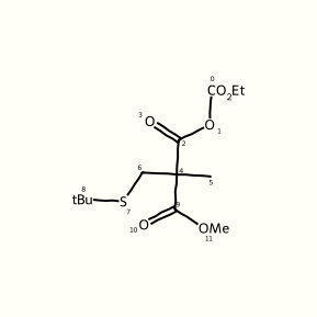 CCOC(=O)OC(=O)C(C)(CSC(C)(C)C)C(=O)OC